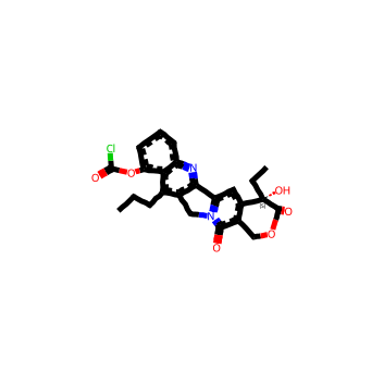 CCCc1c2c(nc3cccc(OC(=O)Cl)c13)-c1cc3c(c(=O)n1C2)COC(=O)[C@]3(O)CC